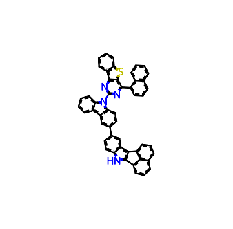 c1ccc2c(-c3nc(-n4c5ccccc5c5cc(-c6ccc7[nH]c8c(c7c6)-c6cccc7cccc-8c67)ccc54)nc4c3sc3ccccc34)cccc2c1